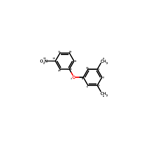 Cc1cc(C)cc(Oc2cccc([N+](=O)[O-])c2)c1